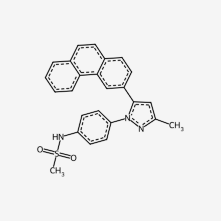 Cc1cc(-c2ccc3ccc4ccccc4c3c2)n(-c2ccc(NS(C)(=O)=O)cc2)n1